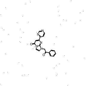 O=C(Cn1ccn2c(=O)cc(-c3ccncn3)nc12)c1ccccc1